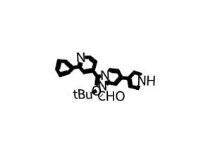 C1=C(c2ccn3c(-c4ccnc(-c5ccccc5)c4)cnc3c2)CCNC1.CC(C)(C)OC=O